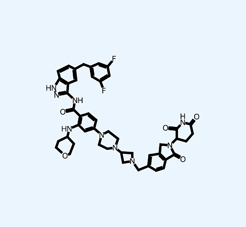 O=C1CCC(N2Cc3cc(CN4CC(N5CCN(c6ccc(C(=O)Nc7n[nH]c8ccc(Cc9cc(F)cc(F)c9)cc78)c(NC7CCOCC7)c6)CC5)C4)ccc3C2=O)C(=O)N1